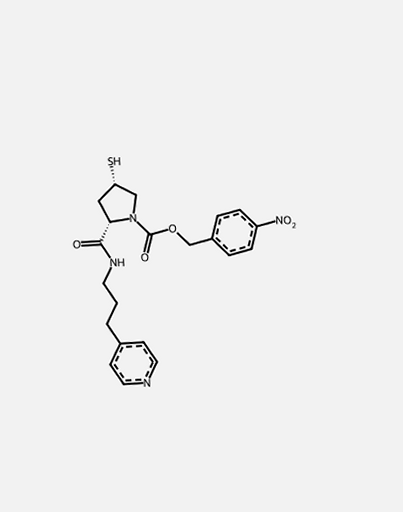 O=C(NCCCc1ccncc1)[C@@H]1C[C@H](S)CN1C(=O)OCc1ccc([N+](=O)[O-])cc1